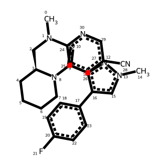 CN(C[C@@H]1CCCCN1C(=O)c1nn(C)cc1-c1ccc(F)cc1)c1ccc(C#N)cn1